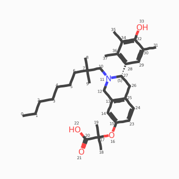 CCCCCCCC(C)(C)CN1Cc2cc(OC(C)(C)C(=O)O)ccc2C[C@H]1c1cc(C)c(O)c(C)c1C